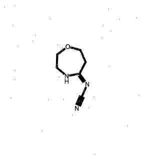 N#C/N=C1/CCOCCN1